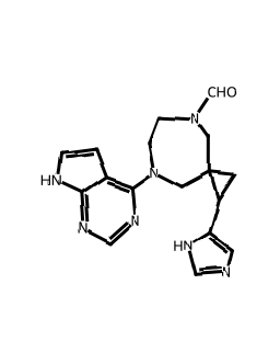 O=CN1CCN(c2ncnc3[nH]ccc23)CC2(CC2c2cnc[nH]2)C1